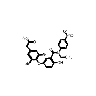 CCN(C(=O)c1cc(Oc2c(Br)cc(CC(=O)O)cc2Br)ccc1O)c1ccc([N+](=O)[O-])cc1